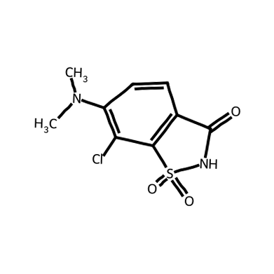 CN(C)c1ccc2c(c1Cl)S(=O)(=O)NC2=O